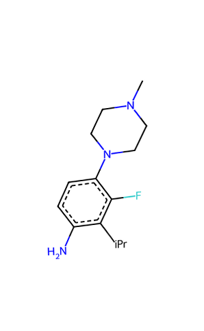 CC(C)c1c(N)ccc(N2CCN(C)CC2)c1F